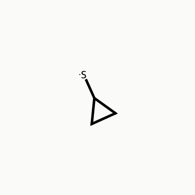 [S]C1CC1